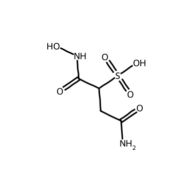 NC(=O)CC(C(=O)NO)S(=O)(=O)O